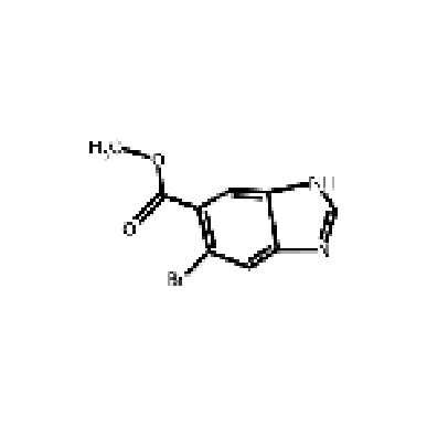 COC(=O)c1cc2[nH]cnc2cc1Br